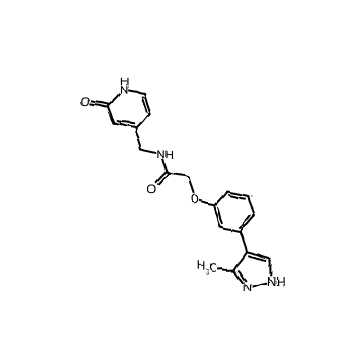 Cc1n[nH]cc1-c1c[c]cc(OCC(=O)NCc2cc[nH]c(=O)c2)c1